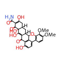 COc1ccc2c(c1OC)OC1c3c-2ccc(O)c3C(=O)C2=C(O)[C@]3(O)C(=O)C(C(N)=O)=C(O)C[C@@H]3C[C@@H]21